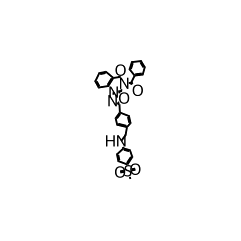 CS(=O)(=O)c1ccc(NCc2ccc(-c3nnc(N(C(=O)c4ccccc4)C(=O)c4ccccc4)o3)cc2)cc1